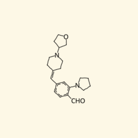 O=Cc1ccc(C=C2CCN(C3CCOC3)CC2)cc1N1CCCC1